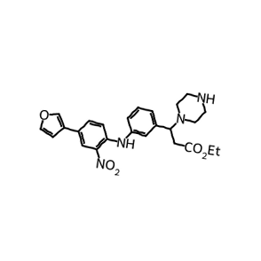 CCOC(=O)CC(c1cccc(Nc2ccc(-c3ccoc3)cc2[N+](=O)[O-])c1)N1CCNCC1